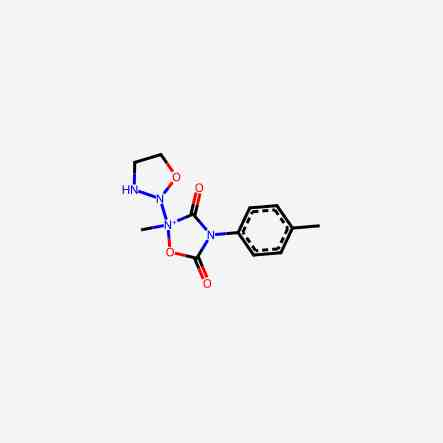 Cc1ccc(N2C(=O)O[N+](C)(N3NCCO3)C2=O)cc1